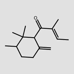 C=C1CCC(C)C(C)(C)C1C(=O)C(C)=CC